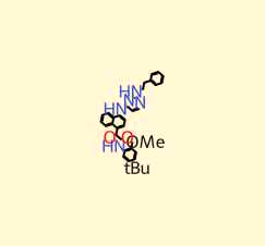 COc1ccc(C(C)(C)C)cc1NC(=O)C(=O)c1ccc(Nc2ccnc(NCCc3ccccc3)n2)c2ccccc12